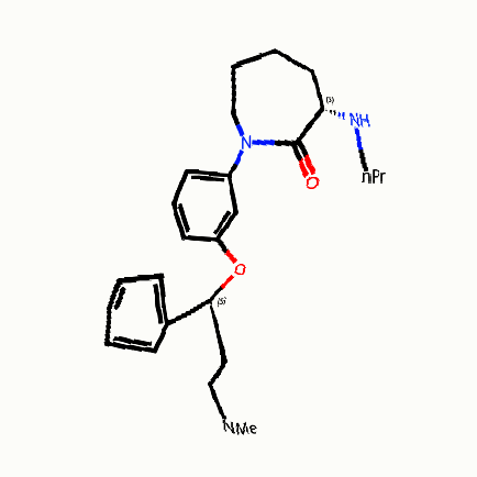 CCCN[C@H]1CCCCN(c2cccc(O[C@@H](CCNC)c3ccccc3)c2)C1=O